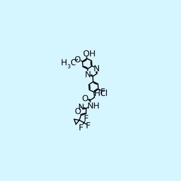 COc1cc2nc(-c3ccc(CC(=O)Nc4cc(C5(C(F)(F)F)CC5)on4)c(F)c3)cnc2cc1O.Cl